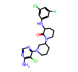 Nc1ncnc(N2CCCC(N3CCCC(Nc4cc(F)cc(Cl)c4)C3=O)C2)c1Cl